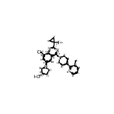 Cc1cccnc1C1CCN(c2nc(C3(F)CC3)nc3c(Cl)cc(N4CC[C@H](O)C4)cc23)CC1